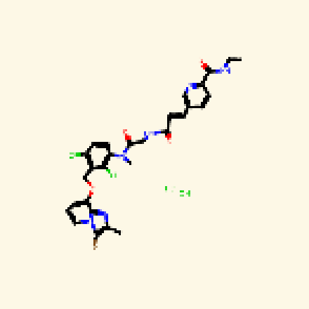 CCNC(=O)c1ccc(C=CC(=O)NCC(=O)N(C)c2ccc(Cl)c(COc3cccn4c(Br)c(C)nc34)c2Cl)cn1.Cl.Cl